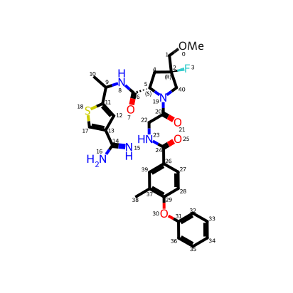 COC[C@@]1(F)C[C@@H](C(=O)NC(C)c2cc(C(=N)N)cs2)N(C(=O)CNC(=O)c2ccc(Oc3ccccc3)c(C)c2)C1